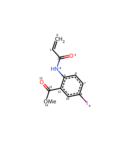 C=CC(=O)Nc1ccc(I)cc1C(=O)OC